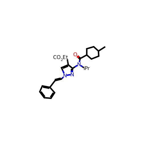 CCOC(=O)c1cn(C=Cc2ccccc2)nc1N(C(=O)C1CCC(C)CC1)C(C)C